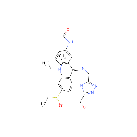 CCN(CC)c1cc([S+]([O-])CC)cc2c1C(c1cccc(NC=O)c1)=NCc1nnc(CO)n1-2